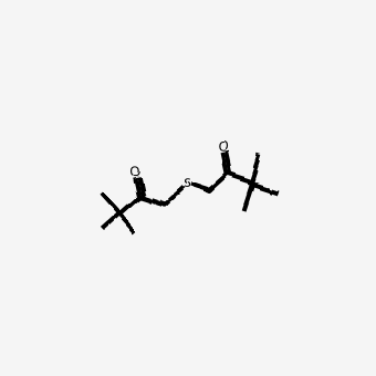 CC(C)(C)C(=O)CSCC(=O)C(C)(C)C